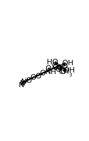 C[C@@H]1O[C@@H](OCCCC(=O)NCCOCCOCCOCCOCCN=[N+]=[N-])[C@H](CC(=O)O)[C@H](CC(=O)O)[C@@H]1CC(=O)O